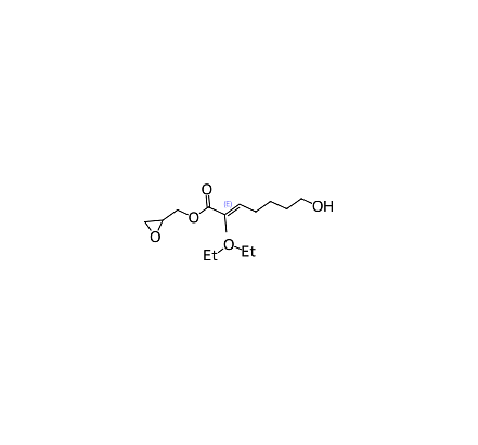 C/C(=C\CCCCO)C(=O)OCC1CO1.CCOCC